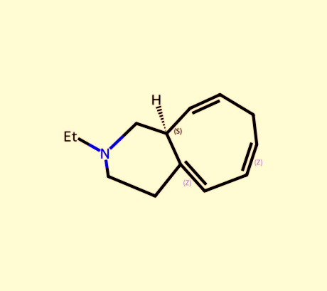 CCN1CC/C2=C/C=C\CC=C[C@@H]2C1